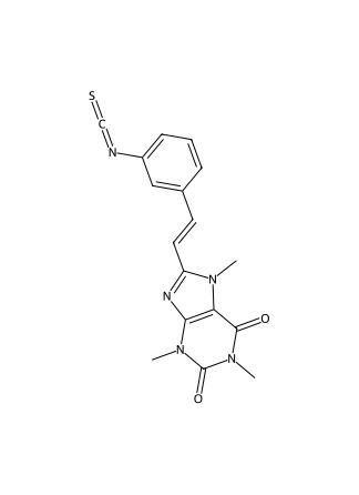 Cn1c(=O)c2c(nc(C=Cc3cccc(N=C=S)c3)n2C)n(C)c1=O